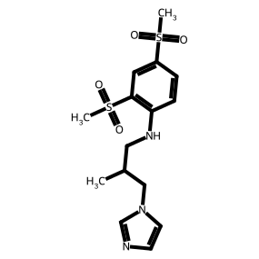 CC(CNc1ccc(S(C)(=O)=O)cc1S(C)(=O)=O)Cn1ccnc1